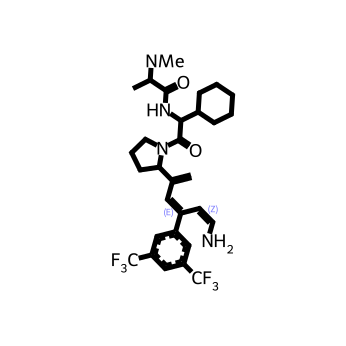 C=C(/C=C(\C=C/N)c1cc(C(F)(F)F)cc(C(F)(F)F)c1)C1CCCN1C(=O)C(NC(=O)C(C)NC)C1CCCCC1